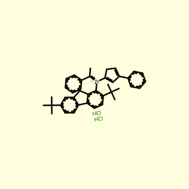 C/[C](c1ccccc1)=[Zr](\[C]1=CC(c2ccccc2)=CC1)[c]1c(C(C)(C)C)ccc2c1Cc1cc(C(C)(C)C)ccc1-2.Cl.Cl